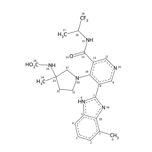 Cc1cccc2[nH]c(-c3cncc(C(=O)NC(C)C(F)(F)F)c3N3CCC(C)(NC(=O)O)C3)nc12